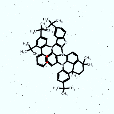 Cc1cc2c3c(c1)N(c1cc(C(C)(C)C)cc(C(C)(C)C)c1-c1ccccc1)c1c(oc4ccc(C(C)(C)C)cc14)B3c1ccc3c4c1N2c1ccc(C(C)(C)C)cc1C4(C)CCC3(C)C